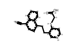 N#Cc1ccc(CCc2cnccc2SCC(=O)O)c2ccccc12